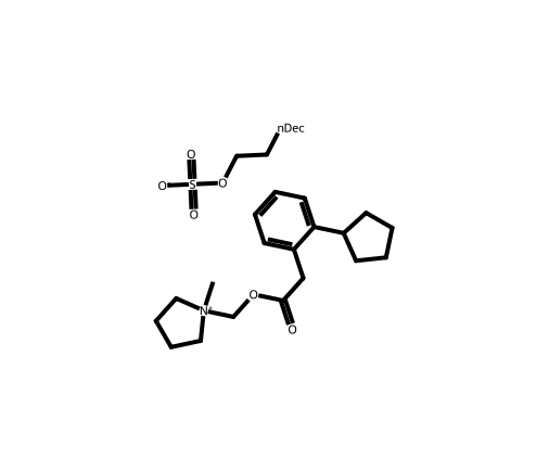 CCCCCCCCCCCCOS(=O)(=O)[O-].C[N+]1(COC(=O)Cc2ccccc2C2CCCC2)CCCC1